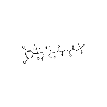 Cc1c(C2=NOC(c3cc(Cl)cc(Cl)c3)(C(F)(F)F)C2)csc1C(=O)NCC(=O)NCC(F)(F)F